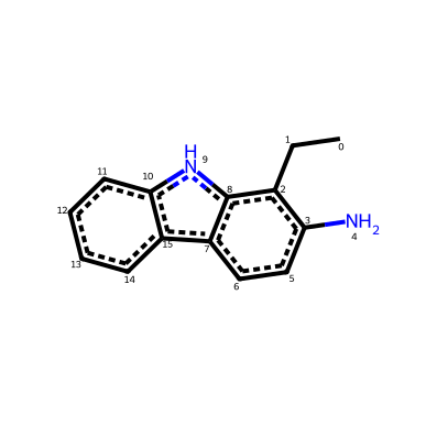 CCc1c(N)ccc2c1[nH]c1ccccc12